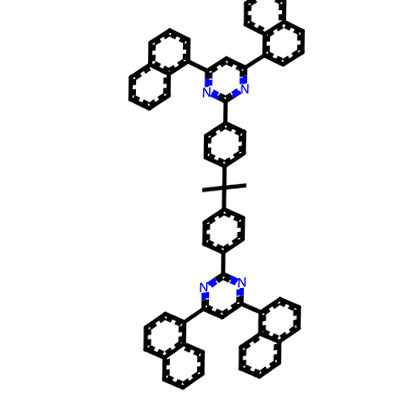 CC(C)(c1ccc(-c2nc(-c3cccc4ccccc34)cc(-c3cccc4ccccc34)n2)cc1)c1ccc(-c2nc(-c3cccc4ccccc34)cc(-c3cccc4ccccc34)n2)cc1